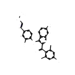 Cc1cc(Cl)cc(C)c1C(=O)c1sc2cc(O)ccc2c1Oc1ccc(/C=C/OC=O)cc1F